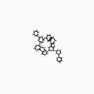 c1ccc(-c2cccc(-c3cc(-c4cccc5c4sc4c(-c6nc(-c7ccccc7)nc(-c7ccccc7)n6)cccc45)cc4c3sc3ccccc34)c2)cc1